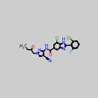 CCC(=O)Cn1cc(C#N)c(NC(=O)c2cc(Cl)c3[nH]c(-c4c(F)cccc4Cl)nc3c2)n1